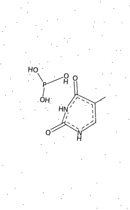 Cc1c[nH]c(=O)[nH]c1=O.OP(O)O